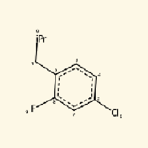 CC(C)Cc1ccc(Cl)cc1F